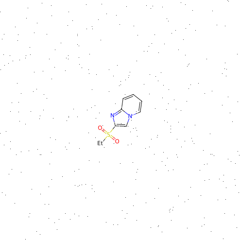 CCS(=O)(=O)c1[c]n2ccccc2n1